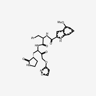 COc1cccc2[nH]c(C(=O)NC(CC(C)C)C(=O)NC(C[C@@H]3CCNC3=O)C(=O)COc3ccon3)cc12